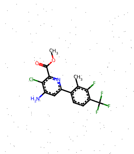 COC(=O)c1nc(-c2ccc(C(F)(F)F)c(F)c2C)cc(N)c1Cl